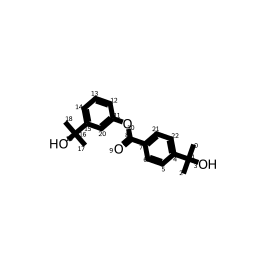 CC(C)(O)c1ccc(C(=O)Oc2cccc(C(C)(C)O)c2)cc1